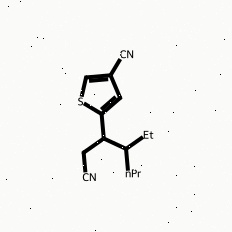 CCCC(CC)C(CC#N)c1cc(C#N)cs1